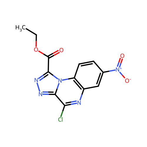 CCOC(=O)c1nnc2c(Cl)nc3cc([N+](=O)[O-])ccc3n12